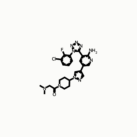 CN(C)CC(=O)N1CCC(n2cc(-c3cnc(N)c(-c4nnnn4-c4cccc(Cl)c4F)c3)cn2)CC1